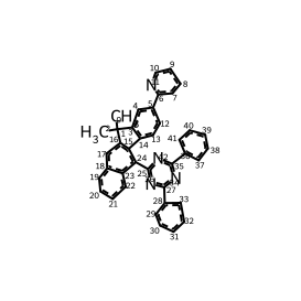 CC1(C)c2cc(-c3ccccn3)ccc2-c2c1cc1ccccc1c2-c1nc(-c2ccccc2)nc(-c2ccccc2)n1